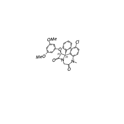 COc1cc(OC)cc(O[C@@H]2C(=O)N3CC(=O)N(C)c4ccc(Cl)cc4[C@@]23c2ccccc2)c1